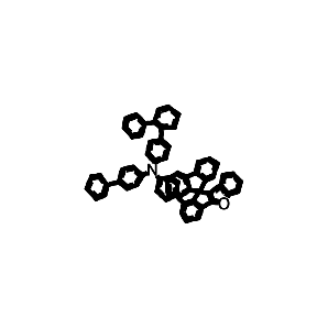 c1ccc(-c2ccc(N(c3ccc(-c4ccccc4-c4ccccc4)cc3)c3ccc(-c4cccc5c4C4(c6ccccc6-c6ccccc64)c4c-5oc5ccccc45)cc3)cc2)cc1